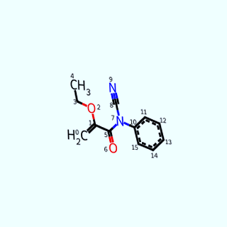 C=C(OCC)C(=O)N(C#N)c1ccccc1